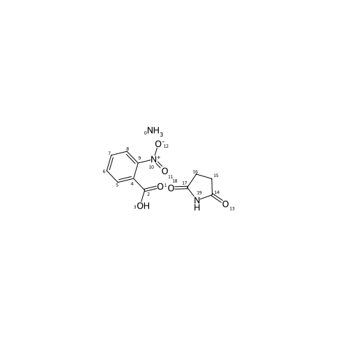 N.O=C(O)c1ccccc1[N+](=O)[O-].O=C1CCC(=O)N1